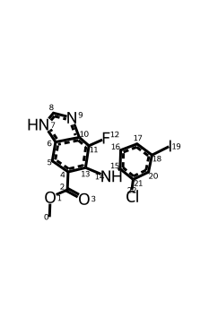 COC(=O)c1cc2[nH]cnc2c(F)c1Nc1ccc(I)cc1Cl